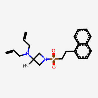 C=CCN(CC=C)C1(C#N)CN(S(=O)(=O)CCc2cccc3ccccc23)C1